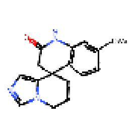 COc1ccc2c(c1)NC(=O)CC21CCCn2cncc21